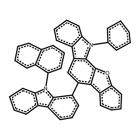 c1ccc(-n2c3ccccc3c3cc(-c4cccc5c6ccccc6n(-c6cccc7ccccc67)c45)c4c5ccccc5oc4c32)cc1